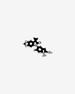 CC(C)n1c(C(C)(C)C)cc2cc(NC(=O)C3(c4ccc5c(c4)OCO5)CC3)c(F)cc21